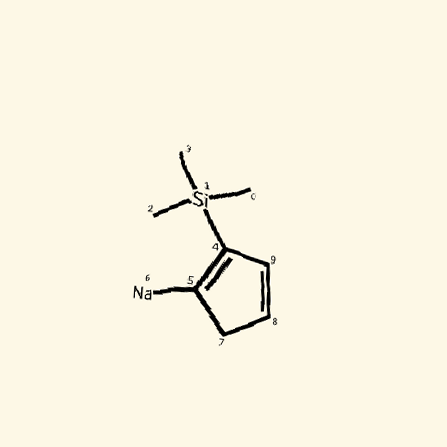 C[Si](C)(C)C1=[C]([Na])CC=C1